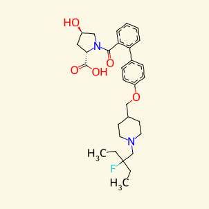 CCC(F)(CC)CN1CCC(COc2ccc(-c3ccccc3C(=O)N3C[C@H](O)C[C@H]3C(=O)O)cc2)CC1